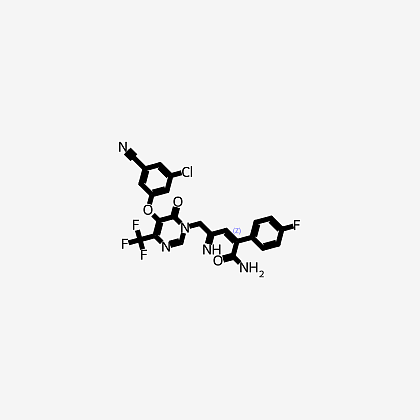 N#Cc1cc(Cl)cc(Oc2c(C(F)(F)F)ncn(CC(=N)/C=C(\C(N)=O)c3ccc(F)cc3)c2=O)c1